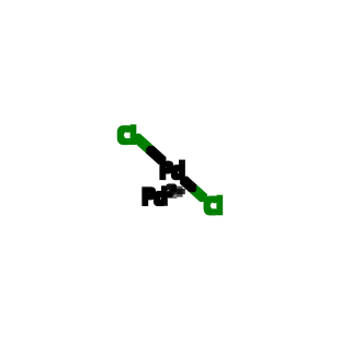 [Cl][Pd][Cl].[Pd+2]